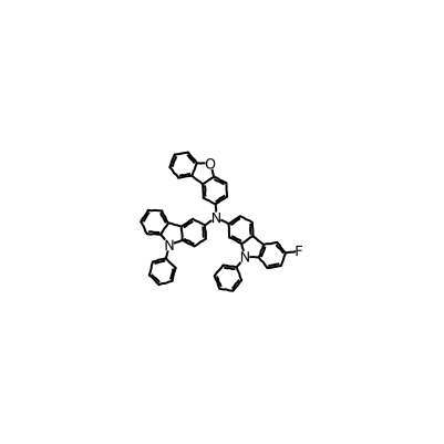 Fc1ccc2c(c1)c1ccc(N(c3ccc4oc5ccccc5c4c3)c3ccc4c(c3)c3ccccc3n4-c3ccccc3)cc1n2-c1ccccc1